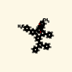 Cc1ccc(-c2ccc3c(c2)c2cc(-c4ccc(C)cc4)ccc2n3-c2ccc(-c3cc(-c4ccccc4)nc(-c4ccccc4)n3)cc2-c2cc(-c3ccccc3)nc(-c3ccccc3)n2)cc1